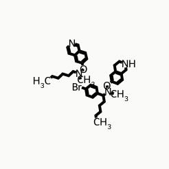 CCCCCC(c1ccc(Br)cc1)N(C)Oc1ccc2c(c1)CCNC2.CCCCCCN(C)Oc1ccc2cnccc2c1